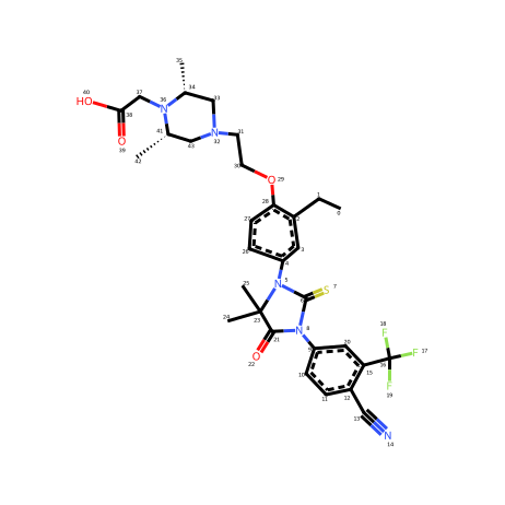 CCc1cc(N2C(=S)N(c3ccc(C#N)c(C(F)(F)F)c3)C(=O)C2(C)C)ccc1OCCN1C[C@@H](C)N(CC(=O)O)[C@@H](C)C1